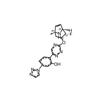 C[C@@]12C=C[C@@H](N1)[C@H](F)[C@@H](Oc1ncc(-c3ccc(-n4ccnn4)cc3O)nn1)C2